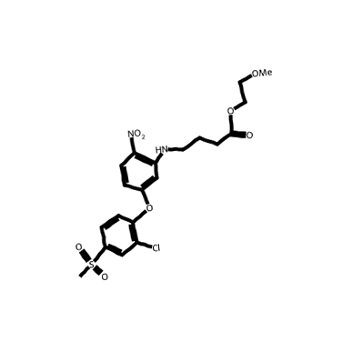 COCCOC(=O)CCCNc1cc(Oc2ccc(S(C)(=O)=O)cc2Cl)ccc1[N+](=O)[O-]